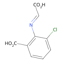 O=C(O)C=Nc1c(Cl)cccc1C(=O)O